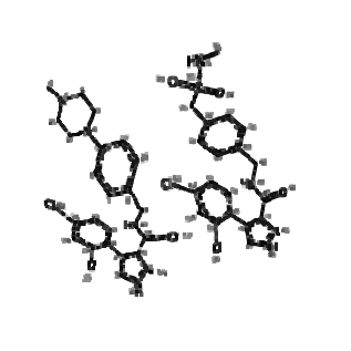 CN1CCN(c2ccc(CNC(=O)c3n[nH]cc3-c3ccc(Cl)cc3Cl)cc2)CC1.CNS(=O)(=O)Cc1ccc(CNC(=O)c2n[nH]cc2-c2ccc(Cl)cc2Cl)cc1